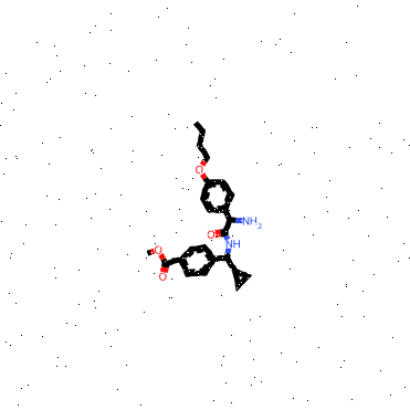 CCCCOc1ccc(C(N)C(=O)NC(c2ccc(C(=O)OC)cc2)C2CC2)cc1